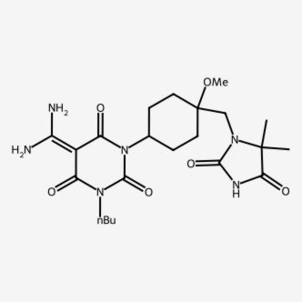 CCCCN1C(=O)C(=C(N)N)C(=O)N(C2CCC(CN3C(=O)NC(=O)C3(C)C)(OC)CC2)C1=O